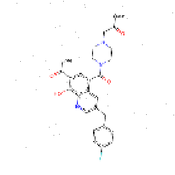 COC(=O)CN1CCN(C(=O)c2cc(C(=O)OC)c(O)c3ncc(Cc4ccc(F)cc4)cc23)CC1